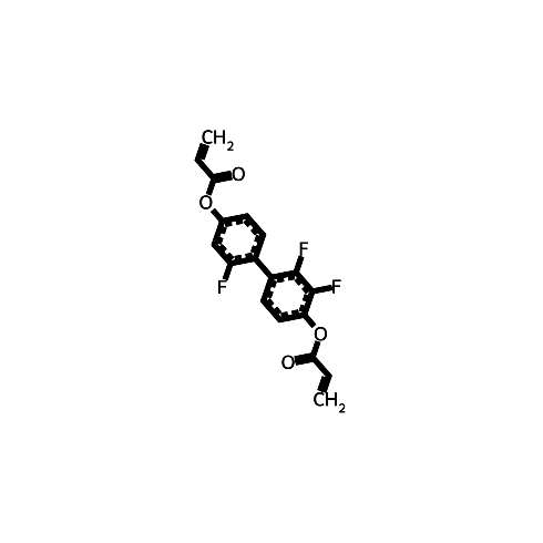 C=CC(=O)Oc1ccc(-c2ccc(OC(=O)C=C)c(F)c2F)c(F)c1